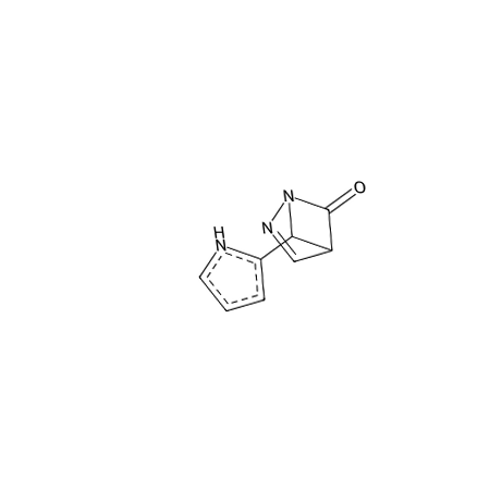 O=C1C2C=NN1C2c1ccc[nH]1